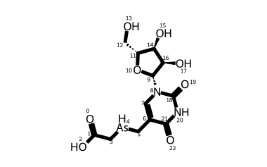 O=C(O)C[AsH]Cc1cn([C@@H]2O[C@H](CO)[C@@H](O)[C@H]2O)c(=O)[nH]c1=O